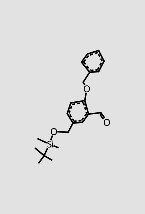 CC(C)(C)[Si](C)(C)OCc1ccc(OCc2ccccc2)c(C=O)c1